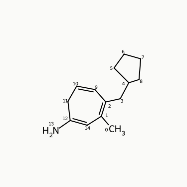 CC1=C(CC2CCCC2)C=CCC(N)=C1